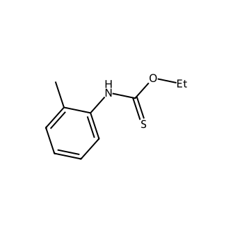 CCOC(=S)Nc1ccccc1C